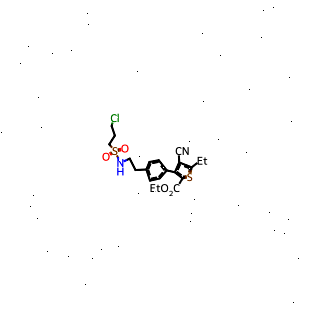 CCOC(=O)c1sc(CC)c(C#N)c1-c1ccc(CCNS(=O)(=O)CCCCl)cc1